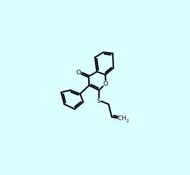 C=CCSc1oc2ccccc2c(=O)c1-c1ccccc1